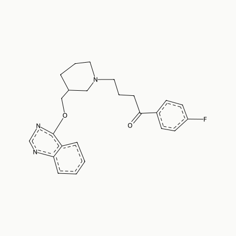 O=C(CCCN1CCCC(COc2ncnc3ccccc23)C1)c1ccc(F)cc1